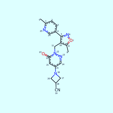 Cc1ccc(-c2noc(C)c2Cn2ncc(N3CC(C#N)C3)cc2=O)cn1